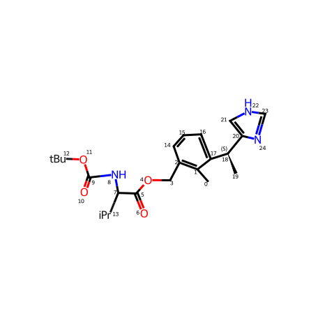 Cc1c(COC(=O)C(NC(=O)OC(C)(C)C)C(C)C)cccc1[C@H](C)c1c[nH]cn1